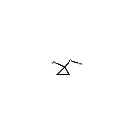 CCCC1(OC(C)=O)CC1